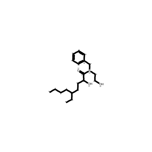 CCCCC(CC)CCC(O)C(=O)N(CCO)Cc1ccccc1